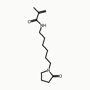 C=C(C)C(=O)NCCCCCCN1CCCC1=O